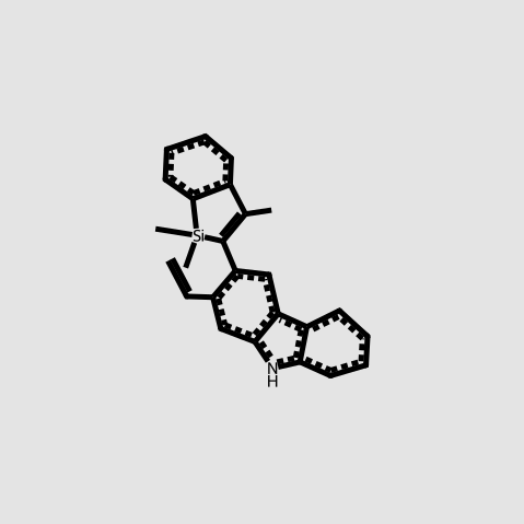 C=Cc1cc2[nH]c3ccccc3c2cc1C1=C(C)c2ccccc2[Si]1(C)C